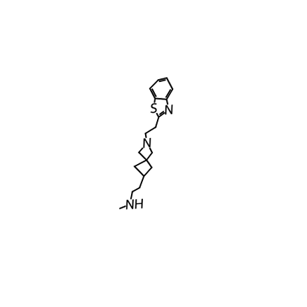 CNCCC1CC2(C1)CN(CCc1nc3ccccc3s1)C2